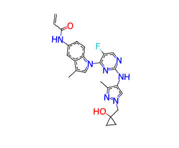 C=CC(=O)Nc1ccc2c(c1)c(C)cn2-c1nc(Nc2cn(CC3(O)CC3)nc2C)ncc1F